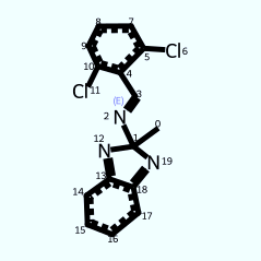 CC1(/N=C/c2c(Cl)cccc2Cl)N=c2ccccc2=N1